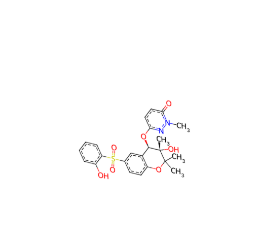 Cn1nc(O[C@@H]2c3cc(S(=O)(=O)c4ccccc4O)ccc3OC(C)(C)[C@@]2(C)O)ccc1=O